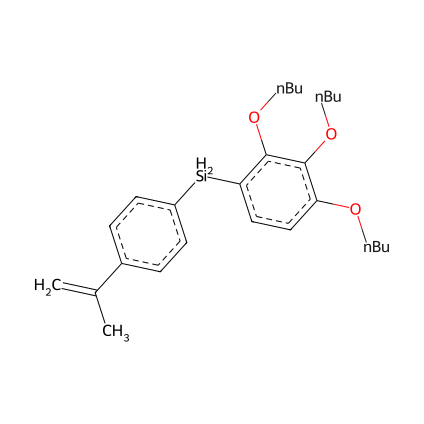 C=C(C)c1ccc([SiH2]c2ccc(OCCCC)c(OCCCC)c2OCCCC)cc1